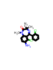 CN1C(=O)C(C)(C)N=C(c2ccccc2Cl)c2c1ccc(N)c2Cl